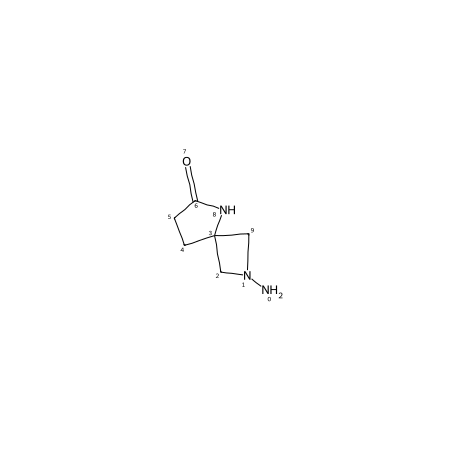 NN1CC2(CCC(=O)N2)C1